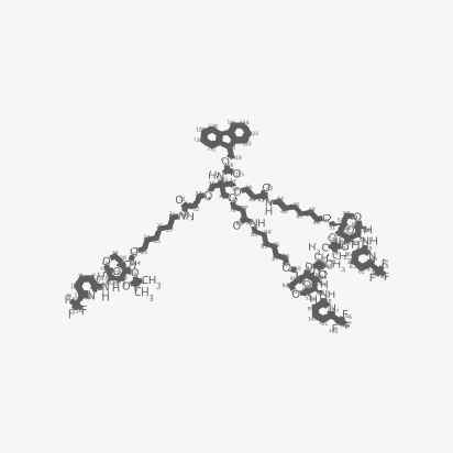 CC1(C)O[C@@H]2[C@@H](Nc3cccc(C(F)(F)F)n3)[C@H]3OC[C@](COCCCCCCNC(=O)CCOCC(COCCC(=O)NCCCCCCOC[C@@]45CO[C@@H](O4)[C@H](Nc4cccc(C(F)(F)F)n4)[C@H]4OC(C)(C)O[C@H]45)(COCCC(=O)NCCCCCCOC[C@@]45CO[C@@H](O4)[C@H](Nc4cccc(C(F)(F)F)n4)[C@H]4OC(C)(C)O[C@H]45)NC(=O)OCC4c5ccccc5-c5ccccc54)(O3)[C@@H]2O1